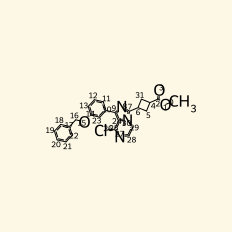 COC(=O)C1CC(c2nc(-c3cccc(OCc4ccccc4)c3)c3c(Cl)nccn23)C1